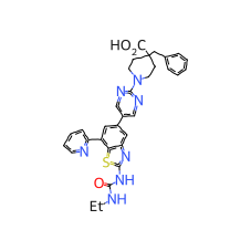 CCNC(=O)Nc1nc2cc(-c3cnc(N4CCC(Cc5ccccc5)(C(=O)O)CC4)nc3)cc(-c3ccccn3)c2s1